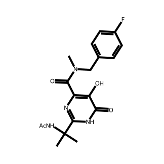 CC(=O)NC(C)(C)c1nc(C(=O)N(C)Cc2ccc(F)cc2)c(O)c(=O)[nH]1